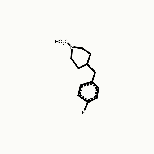 O=C(O)N1CCC(Cc2ccc(F)cc2)CC1